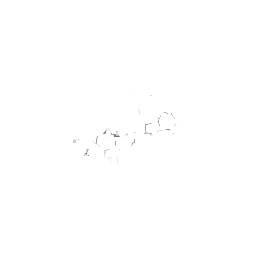 COc1ccc2sc(C(=O)[AsH]c3ccc(C(=O)O)c(O)c3)c(OC(C)C)c2c1